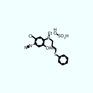 CCN(CCCSc1ccccc1)c1cc(Cl)c([N+]#N)cc1OC.O=S(=O)(O)O